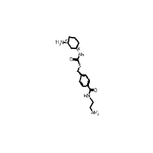 NCCNC(=O)c1ccc(CSC(=O)N[C@H]2CCC[C@H](N)C2)cc1